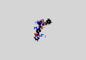 N[C@H](C(=O)N1CCCC1)[C@H]1CC[C@H](NC(=O)[C@@H]2CNC(=O)N2C(=O)OCc2ccccc2)CC1